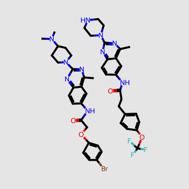 Cc1nc(N2CCC(N(C)C)CC2)nc2ccc(NC(=O)COc3ccc(Br)cc3)cc12.Cc1nc(N2CCNCC2)nc2ccc(NC(=O)CCc3ccc(OC(F)(F)F)cc3)cc12